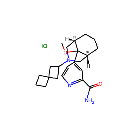 COC1(c2ccnc(C(N)=O)c2)[C@@H]2CCC[C@H]1CN(C1CC3(CCC3)C1)C2.Cl